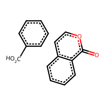 O=C(O)c1ccccc1.O=c1occc2ccccc12